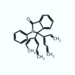 C=C/C=C(\C=C)C1(C(/C=C\C)=C/C=C)c2ccccc2C(=O)N1c1ccccc1